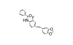 O=C(Nc1ccc(/C=C/c2ccc3c(c2)OCO3)cc1F)c1ccccc1